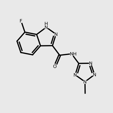 Cn1nnc(NC(=O)c2n[nH]c3c(F)cccc23)n1